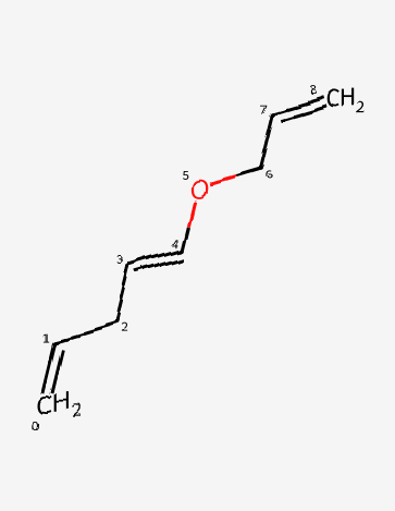 C=CCC=COCC=C